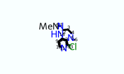 CN/N=C1/CCN(C)c2c(ccnc2Cl)N1